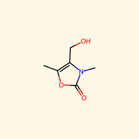 Cc1oc(=O)n(C)c1CO